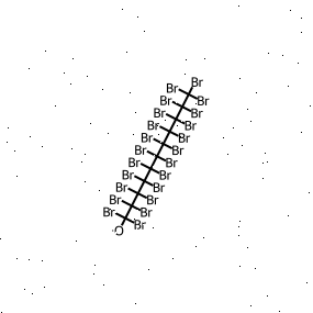 [O]C(Br)(Br)C(Br)(Br)C(Br)(Br)C(Br)(Br)C(Br)(Br)C(Br)(Br)C(Br)(Br)C(Br)(Br)C(Br)(Br)C(Br)(Br)C(Br)(Br)Br